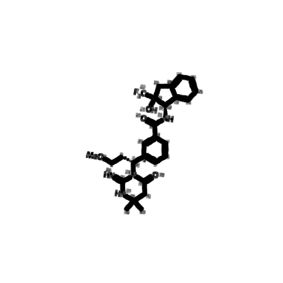 COCC[C@H](c1cccc(C(=O)N[C@@H]2c3ccccc3CC2(O)C(F)(F)F)c1)N1C(=N)NC(C)(C)CC1=O